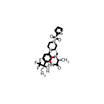 C[C@H]1C(=O)NCCN1C[C@H]1CN(S(=O)(=O)c2cccs2)CCN1c1ccc([C@@](C)(O)C(F)(F)F)cc1